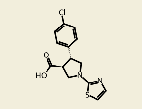 O=C(O)[C@@H]1CN(c2nccs2)C[C@H]1c1ccc(Cl)cc1